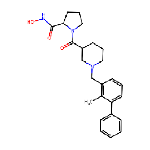 Cc1c(CN2CCCC(C(=O)N3CCCC3C(=O)NO)C2)cccc1-c1ccccc1